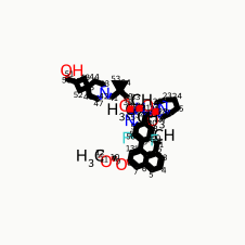 C#Cc1cccc2cc(OCOC)cc(-c3c(F)cc4c(N5CC6CCC(C5)N6C(=O)OC(C)(C)C)nc(OCC5(CN6CCC7(CC6)CC(CO)C7)CC5)nc4c3F)c12